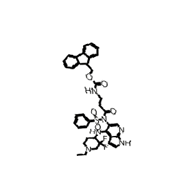 CCN1CCC(Nc2c(N(C(=O)CCNC(=O)OCC3c4ccccc4-c4ccccc43)S(=O)(=O)c3ccccc3)cnc3[nH]ccc23)C(F)(F)C1